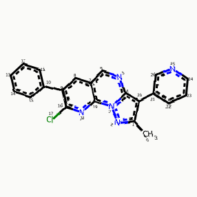 Cc1nn2c(ncc3cc(-c4ccccc4)c(Cl)nc32)c1-c1cccnc1